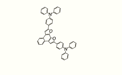 c1ccc(N(c2ccccc2)c2ccc(-c3cc4c5ccccc5c5cc(-c6ccc(N(c7ccccc7)c7ccccc7)cc6)oc5c4o3)cc2)cc1